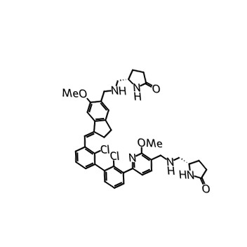 COc1cc2c(cc1CNC[C@@H]1CCC(=O)N1)CC/C2=C\c1cccc(-c2cccc(-c3ccc(CNC[C@@H]4CCC(=O)N4)c(OC)n3)c2Cl)c1Cl